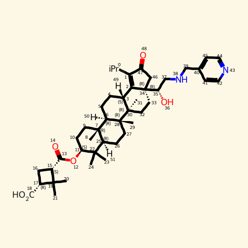 CC(C)C1=C2[C@H]3CC[C@@H]4[C@@]5(C)CC[C@H](OC(=O)[C@H]6C[C@@H](C(=O)O)C6(C)C)C(C)(C)[C@@H]5CC[C@@]4(C)[C@]3(C)CC[C@@]2([C@@H](O)CNCc2ccncc2)CC1=O